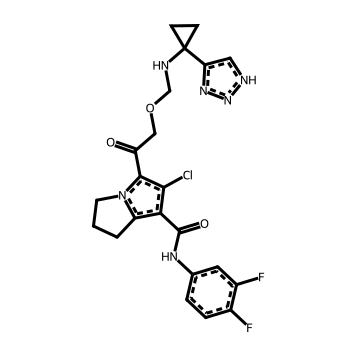 O=C(Nc1ccc(F)c(F)c1)c1c(Cl)c(C(=O)COCNC2(c3c[nH]nn3)CC2)n2c1CCC2